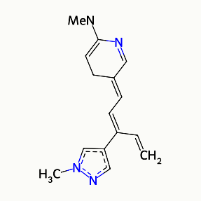 C=C/C(=C\C=C1\C=NC(NC)=CC1)c1cnn(C)c1